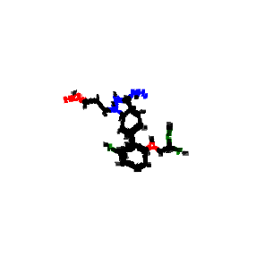 NC1=NN(CCCO)C2CC(c3c(F)cccc3OCC(F)F)=CC=C12